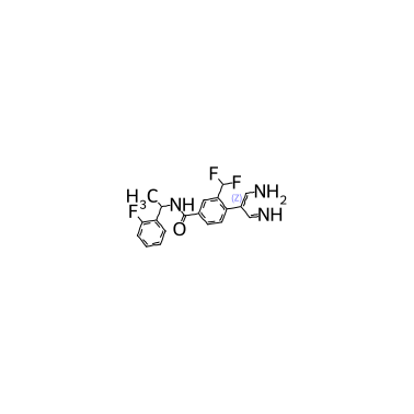 CC(NC(=O)c1ccc(/C(C=N)=C/N)c(C(F)F)c1)c1ccccc1F